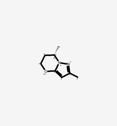 Cc1cc2n(n1)[C@@H](C)CCO2